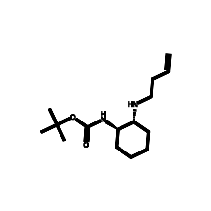 C=CCCN[C@@H]1CCCC[C@H]1NC(=O)OC(C)(C)C